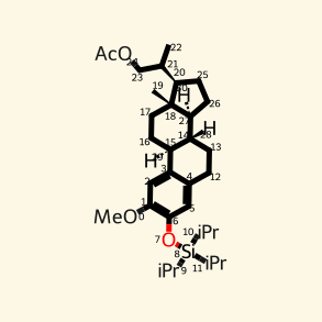 COc1cc2c(cc1O[Si](C(C)C)(C(C)C)C(C)C)CC[C@@H]1[C@@H]2CC[C@]2(C)[C@@H](C(C)COC(C)=O)CC[C@@H]12